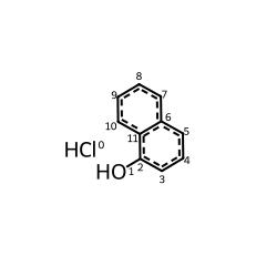 Cl.Oc1cccc2ccccc12